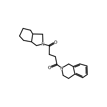 O=C(CCC(=O)N1CC2CCCCC2C1)N1CCc2ccccc2C1